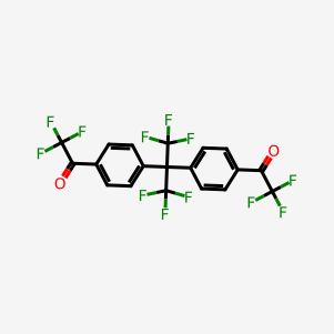 O=C(c1ccc(C(c2ccc(C(=O)C(F)(F)F)cc2)(C(F)(F)F)C(F)(F)F)cc1)C(F)(F)F